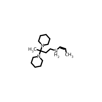 C/C=C\[SiH2]CCC(C)(N1CCCCC1)N1CCCCC1